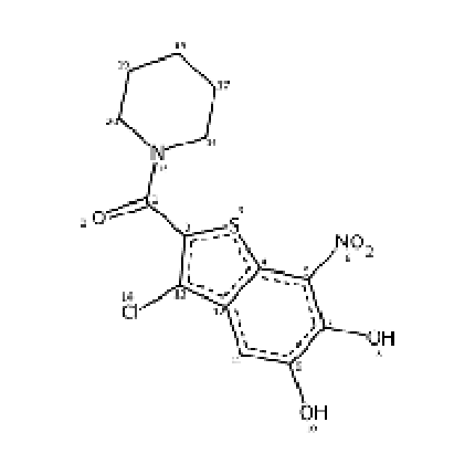 O=C(c1sc2c([N+](=O)[O-])c(O)c(O)cc2c1Cl)N1CCCCC1